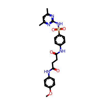 COc1ccc(NC(=O)CCC(=O)Nc2ccc(S(=O)(=O)Nc3nc(C)cc(C)n3)cc2)cc1